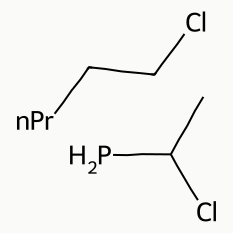 CC(P)Cl.CCCCCCl